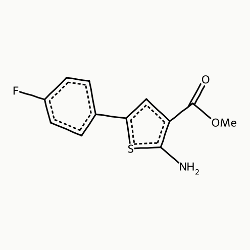 COC(=O)c1cc(-c2ccc(F)cc2)sc1N